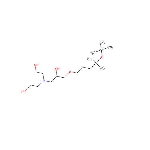 C[Si](C)(C)O[Si](C)(C)CCCOCC(O)CN(CCO)CCO